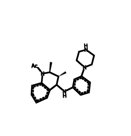 CC(=O)N1c2ccccc2C(Nc2cccc(N3CCNCC3)c2)[C@@H](C)[C@@H]1C